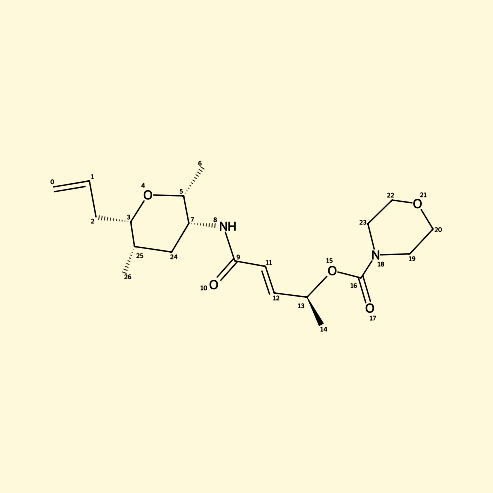 C=CC[C@@H]1O[C@H](C)[C@H](NC(=O)C=C[C@H](C)OC(=O)N2CCOCC2)C[C@@H]1C